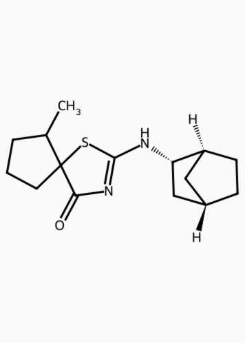 CC1CCCC12SC(N[C@H]1C[C@H]3CC[C@H]1C3)=NC2=O